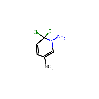 NN1C=C([N+](=O)[O-])C=CC1(Cl)Cl